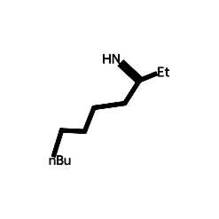 CCCCCCCCC(=N)CC